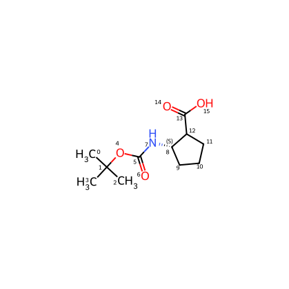 CC(C)(C)OC(=O)N[C@H]1CCCC1C(=O)O